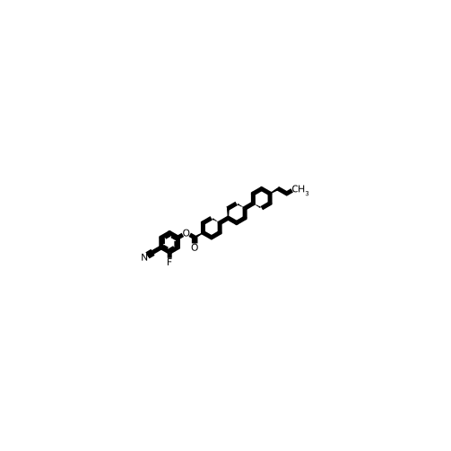 CCC[C@H]1CC[C@H]([C@H]2CC[C@H]([C@H]3CC[C@H](C(=O)Oc4ccc(C#N)c(F)c4)CC3)CC2)CC1